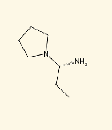 CC[C@@H](N)N1CCCC1